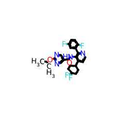 CC(C)Oc1ncc(C(=O)Nc2c(C3CCC(F)(F)CC3)ccnc2-c2cc(F)ccc2F)cn1